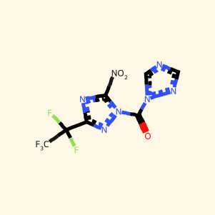 O=C(n1cncn1)n1nc(C(F)(F)C(F)(F)F)nc1[N+](=O)[O-]